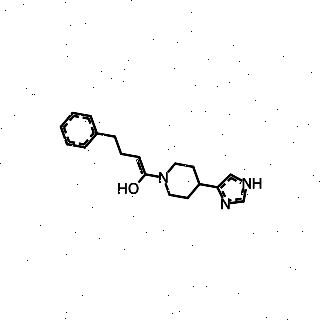 OC(=CCCc1ccccc1)N1CCC(c2c[nH]cn2)CC1